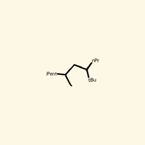 CCCC(C)[C](C)CC(CCC)C(C)(C)C